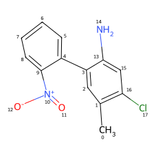 Cc1cc(-c2ccccc2[N+](=O)[O-])c(N)cc1Cl